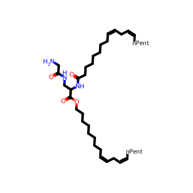 CCCCC/C=C\C/C=C\CCCCCCCCOC(=O)C(CNC(=O)CN)NC(=O)CCCCCCC/C=C\C/C=C\CCCCC